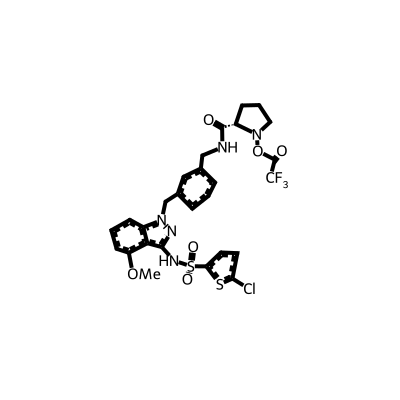 COc1cccc2c1c(NS(=O)(=O)c1ccc(Cl)s1)nn2Cc1cccc(CNC(=O)[C@@H]2CCCN2OC(=O)C(F)(F)F)c1